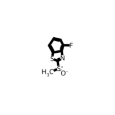 C[S+]([O-])c1nc2c(F)cccc2s1